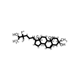 CC(O)C(F)(F)CCCC1CCC2C3CC=C4C[C@@](C)(O)CCC4(C)C3CCC12C